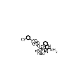 CCCCc1nc2c(N)nc3ccccc3c2n1C(C)(CCCC)COCP1(=O)OCC(c2cccc(Cl)c2)CO1